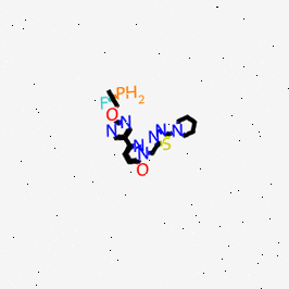 CC(F)(P)COc1ncc(-c2ccc(=O)n(Cc3nnc(N4CCCCC4)s3)n2)cn1